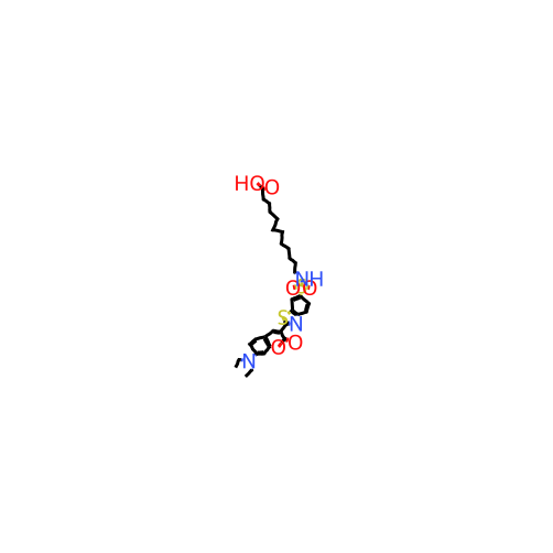 CCN(CC)c1ccc2cc(-c3nc4ccc(S(=O)(=O)NCCCCCCCCCCCC(=O)O)cc4s3)c(=O)oc2c1